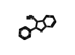 CCCC1C(c2ccccc2)[C]C2C=CC=CC21